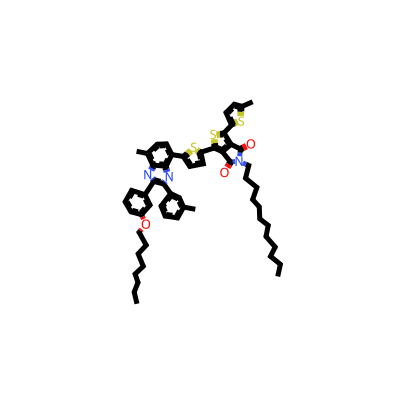 CCCCCCCCCCCCN1C(=O)c2c(-c3ccc(C)s3)sc(-c3ccc(-c4ccc(C)c5nc(-c6cccc(OCCCCCCCC)c6)c(-c6cccc(C)c6)nc45)s3)c2C1=O